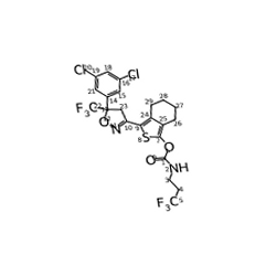 O=C(NCCC(F)(F)F)Oc1sc(C2=NOC(c3cc(Cl)cc(Cl)c3)(C(F)(F)F)C2)c2c1CCCC2